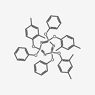 Cc1ccc(OP2(Oc3ccccc3)=NP(Oc3ccccc3)(Oc3ccc(C)cc3C)=NP(Oc3ccccc3)(Oc3ccc(C)cc3C)=N2)c(C)c1